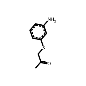 CC(=O)CSc1cccc(N)c1